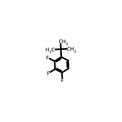 CC(C)(C)c1ccc(F)c(F)c1F